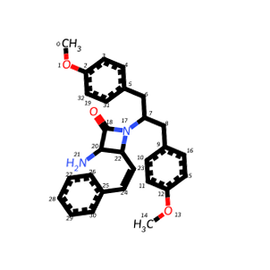 COc1ccc(CC(Cc2ccc(OC)cc2)N2C(=O)C(N)C2C=Cc2ccccc2)cc1